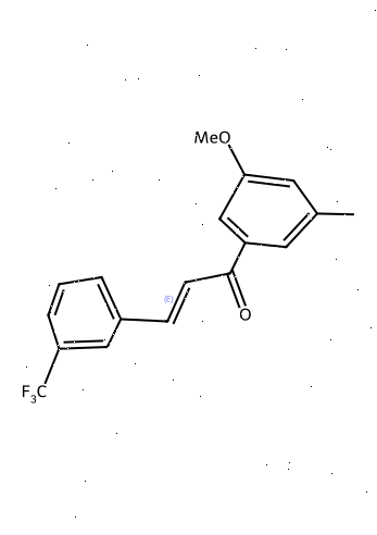 COc1cc(C)cc(C(=O)/C=C/c2cccc(C(F)(F)F)c2)c1